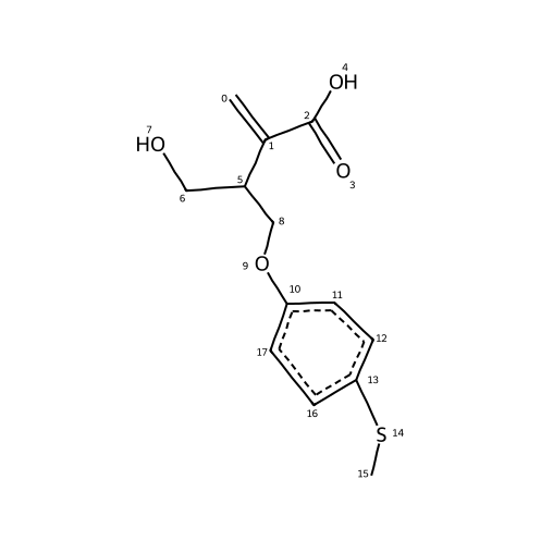 C=C(C(=O)O)C(CO)COc1ccc(SC)cc1